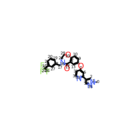 Cn1cc(-c2cc(Oc3ccc4c(c3)C(=O)N(Cc3cccc(C(F)(F)F)c3)CCO4)ccn2)cn1